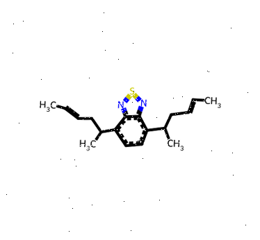 CC=CCC(C)c1ccc(C(C)CC=CC)c2nsnc12